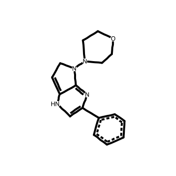 C1=C2NC=C(c3ccccc3)N=C2N(N2CCOCC2)C1